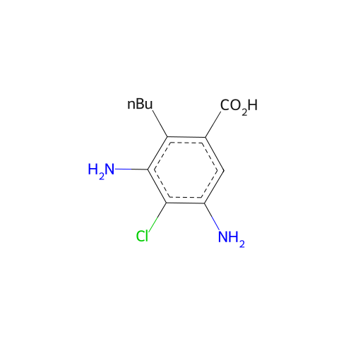 CCCCc1c(C(=O)O)cc(N)c(Cl)c1N